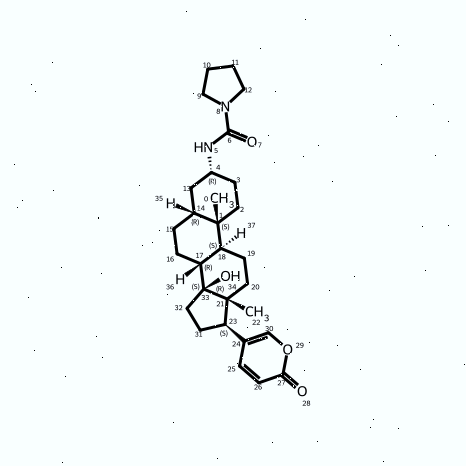 C[C@]12CC[C@@H](NC(=O)N3CCCC3)C[C@H]1CC[C@@H]1[C@@H]2CC[C@]2(C)[C@@H](c3ccc(=O)oc3)CC[C@]12O